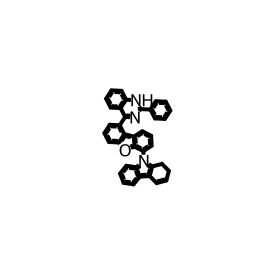 C1=Cc2c(n(-c3cccc4c3oc3cccc(C5=NC(c6ccccc6)Nc6ccccc65)c34)c3ccccc23)CC1